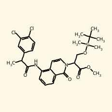 COC(=O)C(CO[Si](C)(C)C(C)(C)C)n1ccc2c(NC(=O)C(C)c3ccc(Cl)c(Cl)c3)cccc2c1=O